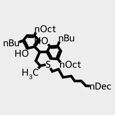 CCCCCCCCCCCCCCCCCSC(C)CC(c1cc(CCCCCCCC)cc(CCCC)c1O)c1cc(CCCCCCCC)cc(CCCC)c1O